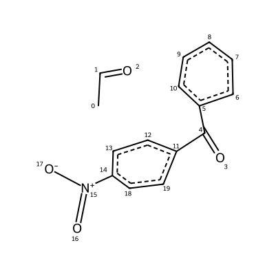 CC=O.O=C(c1ccccc1)c1ccc([N+](=O)[O-])cc1